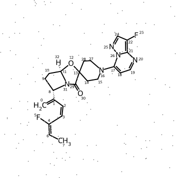 C=C(/C=C\C(F)=C/C)[C@@H]1CC[C@H]2OC3(CCN(c4ccnc5c(F)cnn45)CC3)C(=O)N21